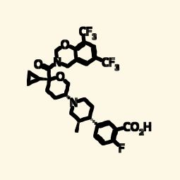 C[C@H]1CN([C@@H]2CC[C@@](C(=O)N3COc4c(cc(C(F)(F)F)cc4C(F)(F)F)C3)(C3CC3)OC2)CC[C@@H]1c1ccc(F)c(C(=O)O)c1